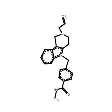 C=CCN1CCc2c(c3ccccc3n2Cc2ccc(C(=O)NC)cc2)C1